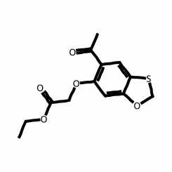 CCOC(=O)COc1cc2c(cc1C(C)=O)SCO2